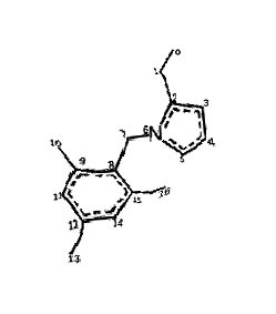 CCc1cccn1Cc1c(C)cc(C)cc1C